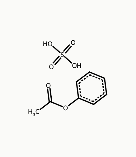 CC(=O)Oc1ccccc1.O=S(=O)(O)O